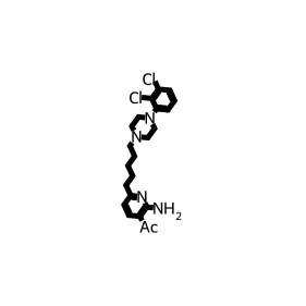 CC(=O)c1ccc(CCCCCN2CCN(c3cccc(Cl)c3Cl)CC2)nc1N